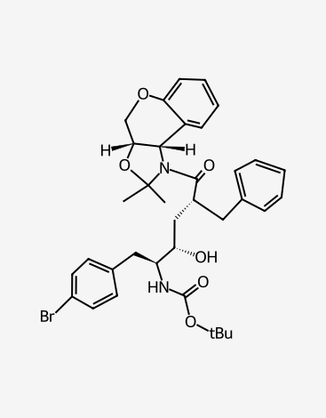 CC(C)(C)OC(=O)N[C@@H](Cc1ccc(Br)cc1)[C@@H](O)C[C@@H](Cc1ccccc1)C(=O)N1[C@H]2c3ccccc3OC[C@H]2OC1(C)C